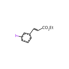 CCOC(=O)C=Cc1cccc(I)c1